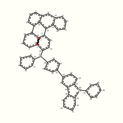 c1ccc(-c2cccc3cc4ccccc4c(-c4ccc(N(c5ccccc5)c5ccc(-c6ccc7c(c6)c6ccccc6n7-c6ccccc6)cc5)cc4)c23)cc1